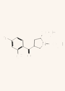 O=C(c1ccc(Br)cc1C(F)(F)F)C1C[C@@H](C(=O)O)N(C(=O)O)C1